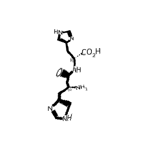 N[C@@H](Cc1c[nH]cn1)C(=O)N[C@H](Cc1c[nH]cn1)C(=O)O